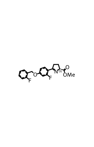 COC(=O)[C@@H]1CCC(c2ccc(OCc3ccccc3F)cc2F)=N1